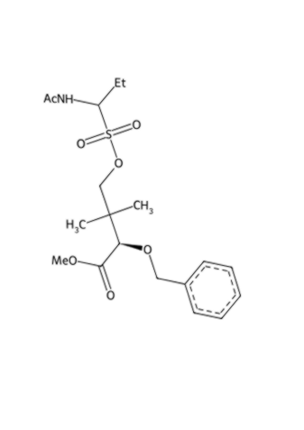 CCC(NC(C)=O)S(=O)(=O)OCC(C)(C)[C@@H](OCc1ccccc1)C(=O)OC